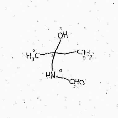 [CH2]C(C)(O)NC=O